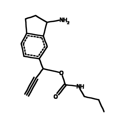 C#CC(OC(=O)NCCC)c1ccc2c(c1)C(N)CC2